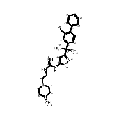 CN1CCN(CCNC(=N)Nc2cc(C(C)(C)c3ccc(-c4ccccc4)c(F)c3)no2)CC1